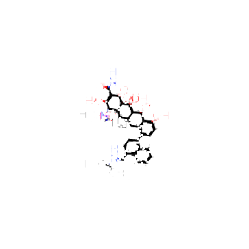 CC(C)NCc1ccc(-c2ccc(O)c3c2C[C@H]2C[C@@]4(O)[C@H](N(C)C)C(O)=C(C(N)=O)C(=O)[C@@]4(O)C(O)=C2C3=O)c2ccccc12